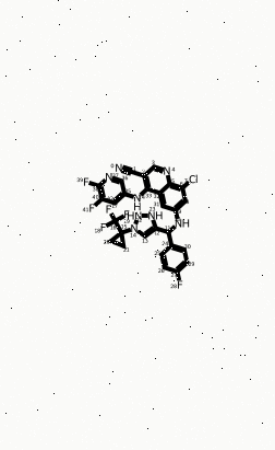 N#Cc1cnc2c(Cl)cc(NC(C3=CN(C4(C(F)(F)F)CC4)NN3)c3ccc(F)cc3)cc2c1Nc1cnc(F)c(F)c1